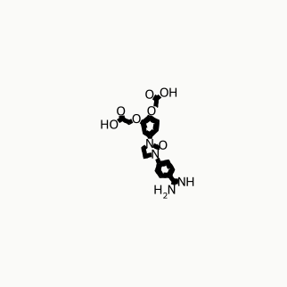 N=C(N)c1ccc(N2CCN(c3ccc(OCC(=O)O)c(OCC(=O)O)c3)C2=O)cc1